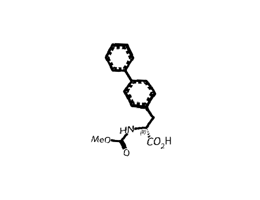 COC(=O)N[C@H](Cc1ccc(-c2ccccc2)cc1)C(=O)O